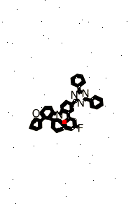 Fc1cccc(-c2cc(-c3nc(-c4ccccc4)nc(-c4ccccc4)n3)ccc2-n2c3ccccc3c3c4c(ccc32)oc2ccccc24)c1